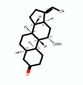 CO[C@H]1C[C@]2(C)/C(=C\C#N)CC[C@H]2[C@@H]2CC[C@@H]3CC(=O)CC[C@]3(C)[C@H]21